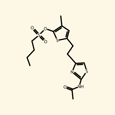 CCCCS(=O)(=O)Oc1sc(CCc2csc(NC(C)=O)n2)cc1C